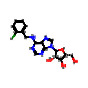 OC[C@H]1OC(n2cnc3c(NCc4ccccc4F)ncnc32)[C@@H](O)[C@@H]1O